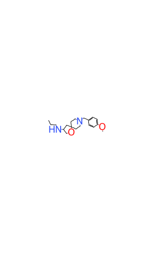 CCCNC1COC2(CCN(Cc3ccc(OC)cc3)CC2)C1